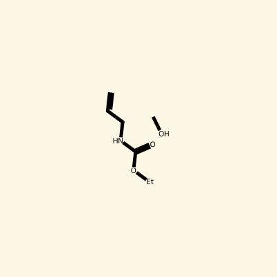 C=CCNC(=O)OCC.CO